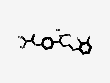 CNC(CCOc1cccc(F)c1F)c1ccc(OC(=O)N(C)C)cc1.Cl